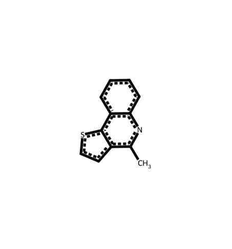 Cc1nc2ccccc2c2sccc12